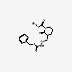 CC(C)(C)OC(=O)N1CCCC(CNNC(=O)OCc2ccccc2)C1=O